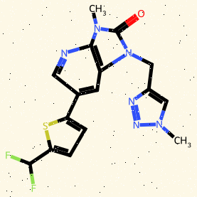 Cn1cc(Cn2c(=O)n(C)c3ncc(-c4ccc(C(F)F)s4)cc32)nn1